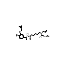 C=CCN(CCCCCNNC(C)c1ccc(F)c(OCC2CC2)c1)C(=O)NC